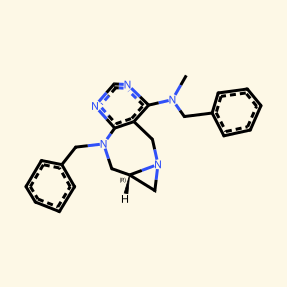 CN(Cc1ccccc1)c1ncnc2c1CN1C[C@@H]1CN2Cc1ccccc1